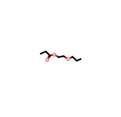 CCCOCCOC(=O)CC